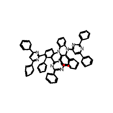 c1ccc(-c2cc(N3c4ccccc4N(c4ccc(-c5nc(-c6ccccc6)cc(-c6ccccc6)n5)c(-c5ccccc5)c4-c4nc(-c5ccccc5)nc(-c5ccccc5)n4)c4ccccc43)nc(-c3ccccc3)n2)cc1